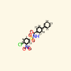 O=C(NS(=O)(=O)c1ccc(Cl)c([N+](=O)[O-])c1)c1ccc(C2=CCCCC2)cc1